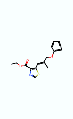 CCOC(=O)c1ncsc1/C=C(\C)COc1ccccc1